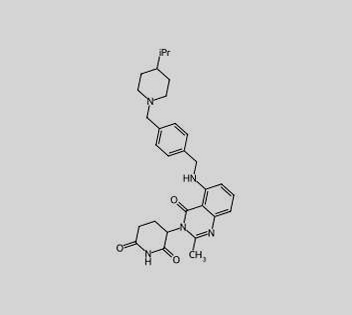 Cc1nc2cccc(NCc3ccc(CN4CCC(C(C)C)CC4)cc3)c2c(=O)n1C1CCC(=O)NC1=O